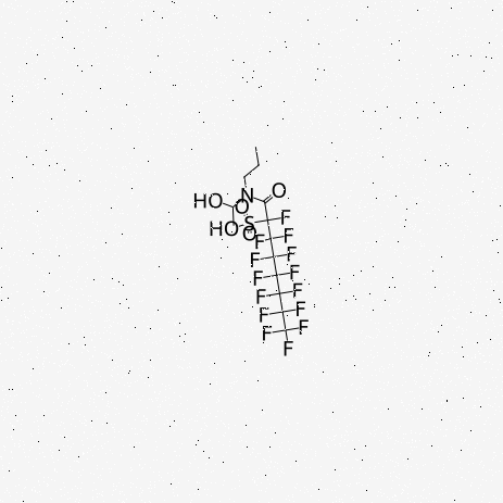 CCCN(C(=O)C(F)(C(F)(F)C(F)(F)C(F)(F)C(F)(F)C(F)(F)C(F)(F)F)S(=O)(=O)O)C(C)O